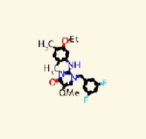 CCOc1cc(Nc2nc(=O)c(OC)cn2Cc2cc(F)cc(F)c2)c(C)cc1C